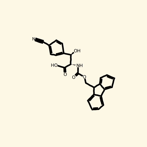 N#Cc1ccc([C@@H](O)[C@H](NC(=O)OCC2c3ccccc3-c3ccccc32)C(=O)O)cc1